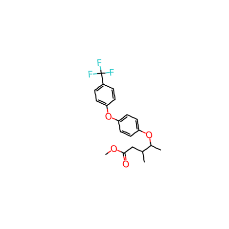 COC(=O)CC(C)C(C)Oc1ccc(Oc2ccc(C(F)(F)F)cc2)cc1